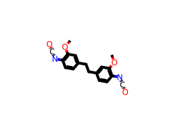 COc1cc(CCc2ccc(N=C=O)c(OC)c2)ccc1N=C=O